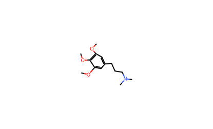 COc1cc(CCCN(C)C)cc(OC)c1OC